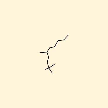 CCCCC[C](C)CCC(C)(C)C